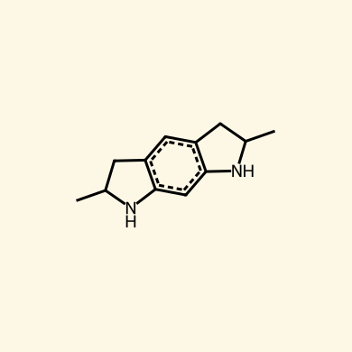 CC1Cc2cc3c(cc2N1)NC(C)C3